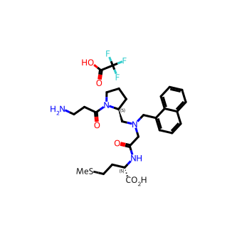 CSCC[C@H](NC(=O)CN(Cc1cccc2ccccc12)C[C@@H]1CCCN1C(=O)CCN)C(=O)O.O=C(O)C(F)(F)F